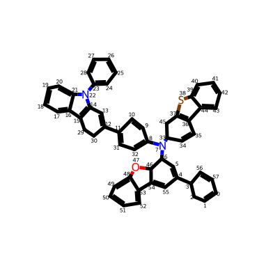 C1=CCC(C2=CC(N(c3ccc(C4=Cc5c(c6ccccc6n5-c5ccccc5)CC4)cc3)C3C=Cc4c(sc5ccccc45)C3)C3Oc4ccccc4C3=C2)C=C1